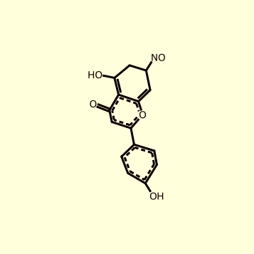 O=NC1C=c2oc(-c3ccc(O)cc3)cc(=O)c2=C(O)C1